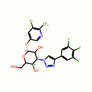 OCC1O[C@H](Sc2cnc(C(F)(F)F)c(Cl)c2)C(O)[C@@H](n2cc(-c3cc(F)c(F)c(F)c3)nn2)[C@H]1O